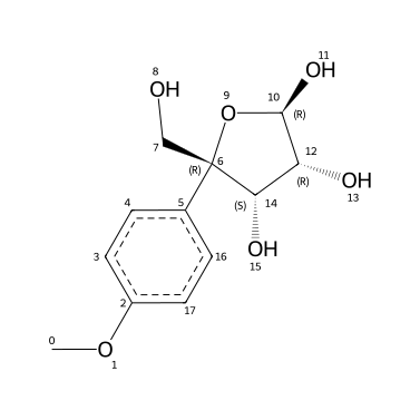 COc1ccc([C@]2(CO)O[C@@H](O)[C@H](O)[C@@H]2O)cc1